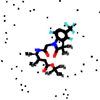 C[C@H](CC(=O)OC(C)(C)C)[C@H](C)NC(=O)CN1C(=O)C(C)(C)c2c(F)c(C(F)(F)F)cc(F)c21